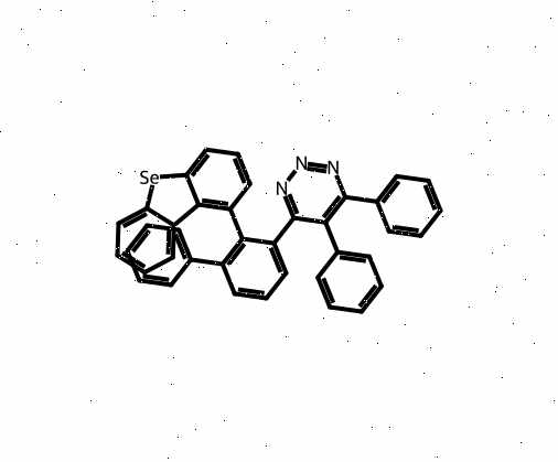 c1ccc(-c2cccc(-c3nnnc(-c4ccccc4)c3-c3ccccc3)c2-c2cccc3[se]c4ccccc4c23)cc1